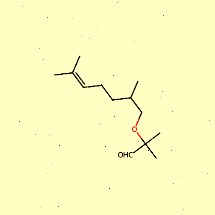 CC(C)=CCCC(C)COC(C)(C)C=O